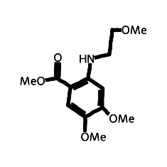 COCCNc1cc(OC)c(OC)cc1C(=O)OC